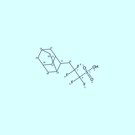 O=S(=O)(O)C(F)(F)C(F)(F)CC1C2CC3CC(C2)CC1C3